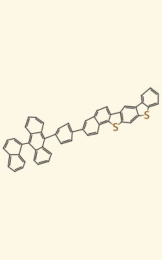 c1ccc2c(-c3c4ccccc4c(-c4ccc(-c5ccc6c(ccc7c8cc9c(cc8sc67)sc6ccccc69)c5)cc4)c4ccccc34)cccc2c1